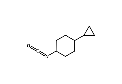 O=C=NC1CCC(C2CC2)CC1